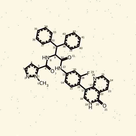 Cn1nccc1C(=O)NC(C(=O)Nc1ccc(-c2c[nH]c(=O)c3cccnc23)c(F)c1)C(c1ccccc1)c1ccccc1